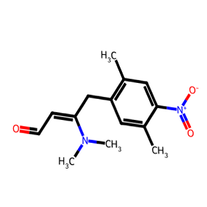 Cc1cc([N+](=O)[O-])c(C)cc1CC(=CC=O)N(C)C